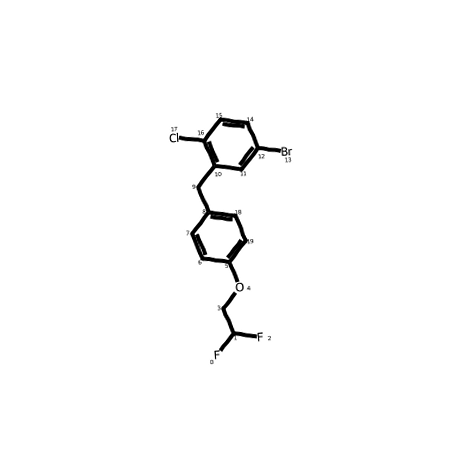 FC(F)COc1ccc(Cc2cc(Br)ccc2Cl)cc1